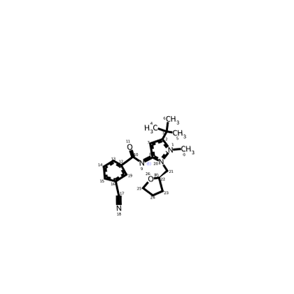 Cn1c(C(C)(C)C)c/c(=N\C(=O)c2cccc(C#N)c2)n1C[C@H]1CCCO1